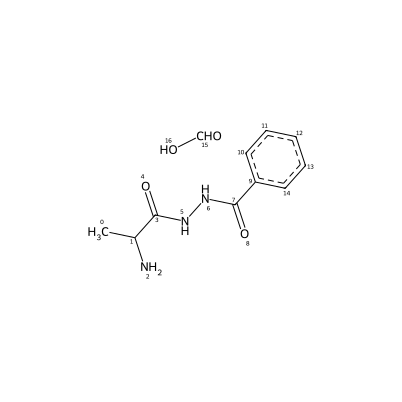 CC(N)C(=O)NNC(=O)c1ccccc1.O=CO